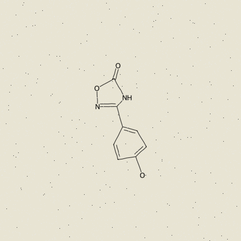 [O]c1ccc(-c2noc(=O)[nH]2)cc1